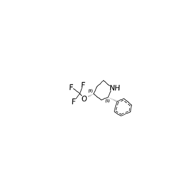 FC(F)(F)O[C@@H]1CCN[C@H](c2ccccc2)C1